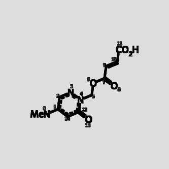 CNc1cnn(COC(=O)/C=C/C(=O)O)c(=O)c1